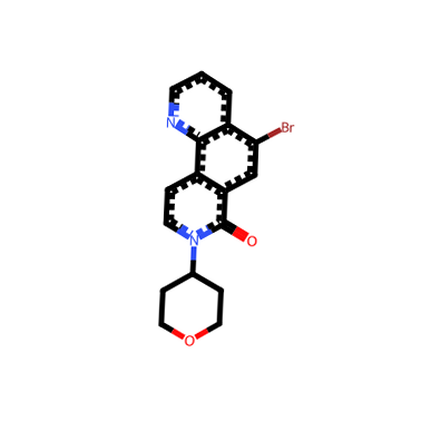 O=c1c2cc(Br)c3cccnc3c2ccn1C1CCOCC1